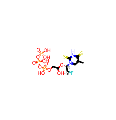 Cc1cn([C@@H](OC(O)COP(=O)(O)OP(=O)(O)OP(=O)(O)O)[C@@H](C)F)c(=S)[nH]c1=S